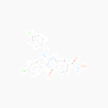 O=C(NO)c1ccc2c(=O)n(-c3ccc(Cl)cc3)c(NCc3ccc(Cl)cc3)nc2c1